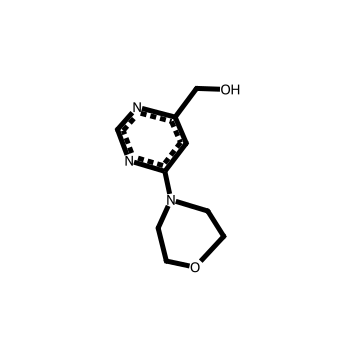 OCc1cc(N2CCOCC2)ncn1